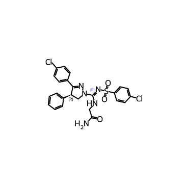 NC(=O)CN/C(=N\S(=O)(=O)c1ccc(Cl)cc1)N1C[C@@H](c2ccccc2)C(c2ccc(Cl)cc2)=N1